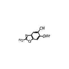 COc1cc2oc(S)nc2cc1C#N